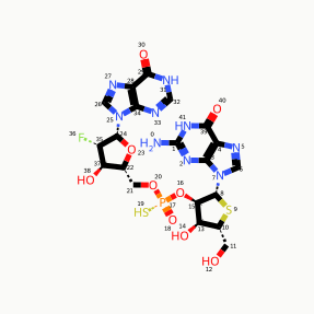 Nc1nc2c(ncn2[C@@H]2S[C@H](CO)[C@@H](O)[C@H]2O[P@](=O)(S)OC[C@H]2O[C@@H](n3cnc4c(=O)[nH]cnc43)[C@@H](F)[C@@H]2O)c(=O)[nH]1